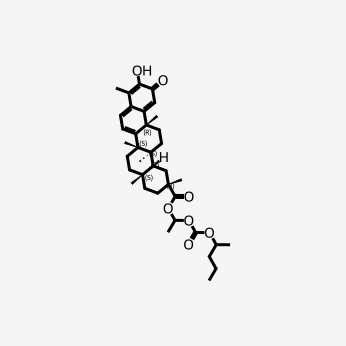 CCCC(C)OC(=O)OC(C)OC(=O)[C@]1(C)CC[C@]2(C)CC[C@]3(C)C4=CC=C5C(=CC(=O)C(O)=C5C)[C@]4(C)CC[C@@]3(C)[C@@H]2C1